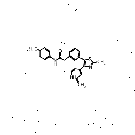 C=C/C=C(\C=C/N)c1nc(C)sc1-c1cccc(CC(=O)Nc2ccc(C)cc2)c1